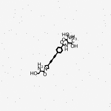 C[C@@H](O)[C@H](NC(=O)c1ccc(C#CC#CC2CN(C(=O)C(N)CO)C2)cc1)C(=O)NO